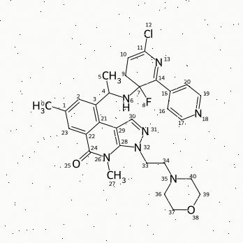 Cc1cc(C(C)NC2(F)CC=C(Cl)N=C2c2ccncc2)c2c(c1)c(=O)n(C)c1c2cnn1CCN1CCOCC1